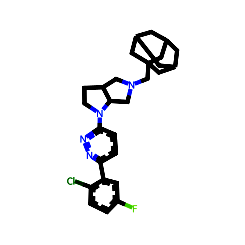 Fc1ccc(Cl)c(-c2ccc(N3CCC4CN(CC56CC7CC(CC(C7)C5)C6)CC43)nn2)c1